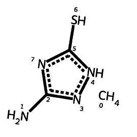 C.Nc1n[nH]c(S)n1